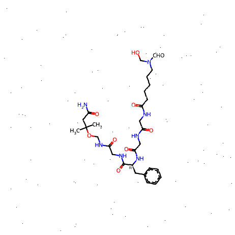 CC(C)(CC(N)=O)OCNC(=O)CNC(=O)[C@H](Cc1ccccc1)NC(=O)CNC(=O)CNC(=O)CCCCCN(C=O)CO